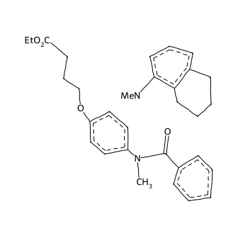 CCOC(=O)CCCOc1ccc(N(C)C(=O)c2ccccc2)cc1.CNc1cccc2c1CCCC2